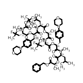 CC(C)C[C@@H](C(=O)O[C@H](C)C(=O)N(C)[C@@H](CC(C)(C)F)C(=O)O[C@H](Cc1ccc(N2CCOCC2)cc1)C(=O)N(C)[C@@H](CC(C)C)C(=O)O[C@H](C)C(=O)OCc1ccccc1)N(C)C(=O)[C@@H](Cc1ccc(N2CCOCC2)cc1)OC(=O)[C@H](CC(C)(C)F)N(C)C(=O)OC(C)(C)C